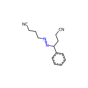 N#CCCCN=NC(CCC#N)c1ccccc1